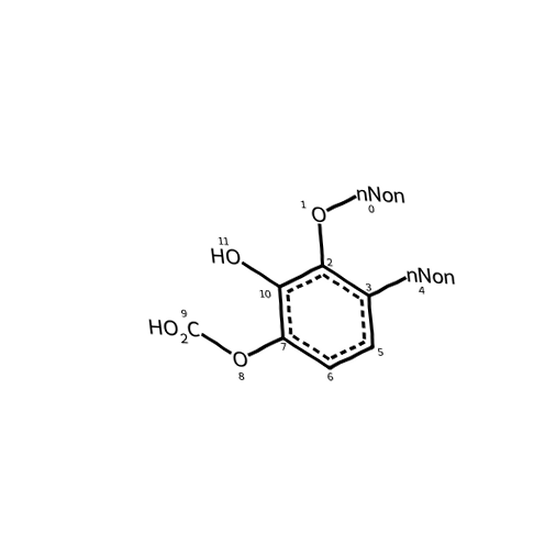 CCCCCCCCCOc1c(CCCCCCCCC)ccc(OC(=O)O)c1O